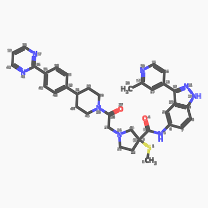 CS[C@@]1(C(=O)Nc2ccc3[nH]nc(-c4ccnc(C)c4)c3c2)CCN(CC(=O)N2CCC(c3ccc(-c4ncccn4)cc3)CC2)C1